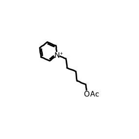 CC(=O)OCCCCC[n+]1ccccc1